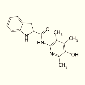 Cc1nc(NC(=O)C2Cc3ccccc3N2)c(C)c(C)c1O